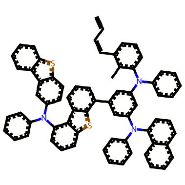 C=C/C=C\c1cccc(N(c2ccccc2)c2cc(-c3cccc4c3sc3cccc(N(c5ccccc5)c5ccc6sc7ccccc7c6c5)c34)cc(N(c3ccccc3)c3cccc4ccccc34)c2)c1C